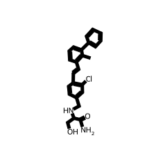 Cc1c(C=Cc2ccc(CNC(CO)C(N)=O)cc2Cl)cccc1-c1ccccc1